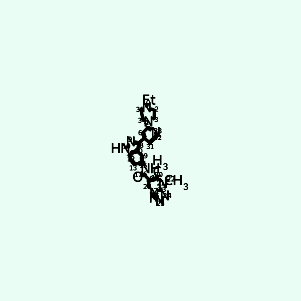 CCN1CCN(c2cc(-c3n[nH]c4ccc(NC(=O)C5=C(C)N(C)c6nnnn6C5)cc34)ccn2)CC1